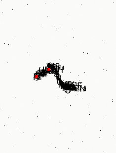 Cc1nc(OCCOCCOCC(=O)NC(C(=O)N2CCCC2C(=O)NCc2ccc(-c3scnc3C)cc2)C(C)(C)C)ccc1N1C(=S)N(c2ccc(C#N)c(C(F)(F)F)c2F)C(=O)C1(C)C